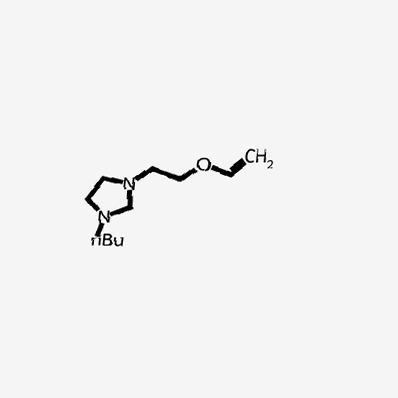 C=COCCN1CCN(CCCC)C1